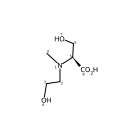 CN(CCO)[C@@H](CO)C(=O)O